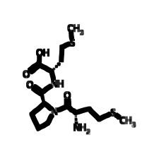 CSCC[C@H](NC(=O)[C@@H]1CCCN1C(=O)[C@@H](N)CCSC)C(=O)O